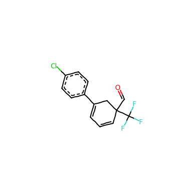 O=CC1(C(F)(F)F)C=CC=C(c2ccc(Cl)cc2)C1